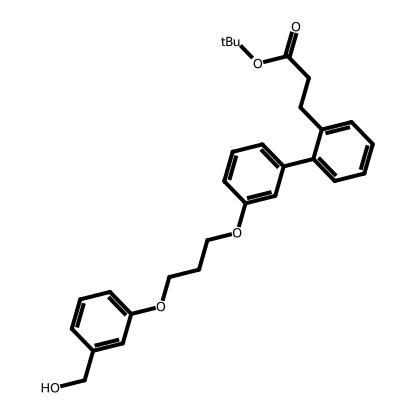 CC(C)(C)OC(=O)CCc1ccccc1-c1cccc(OCCCOc2cccc(CO)c2)c1